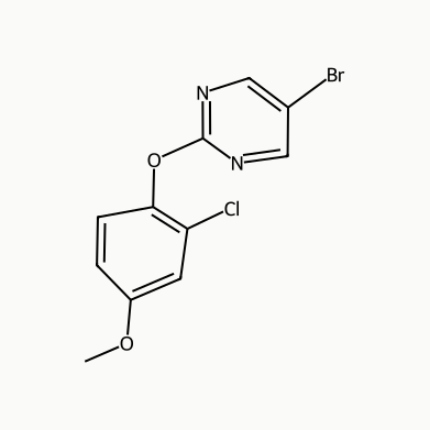 COc1ccc(Oc2ncc(Br)cn2)c(Cl)c1